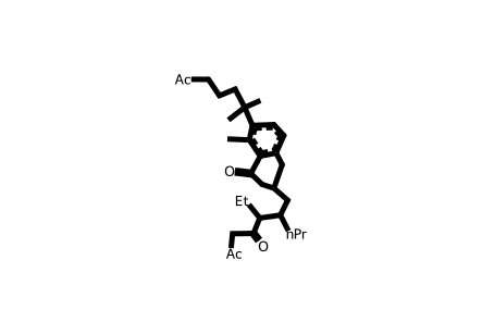 CCCC(CC1CC(=O)c2c(ccc(C(C)(C)CCCC(C)=O)c2C)C1)C(CC)C(=O)CC(C)=O